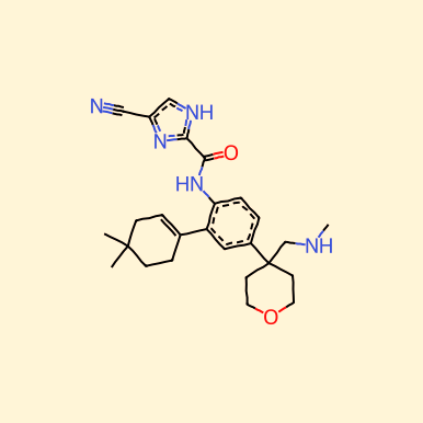 CNCC1(c2ccc(NC(=O)c3nc(C#N)c[nH]3)c(C3=CCC(C)(C)CC3)c2)CCOCC1